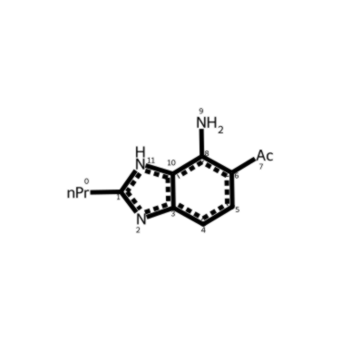 CCCc1nc2ccc(C(C)=O)c(N)c2[nH]1